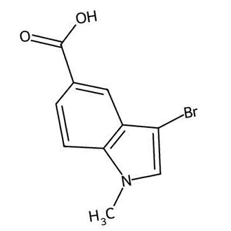 Cn1cc(Br)c2cc(C(=O)O)ccc21